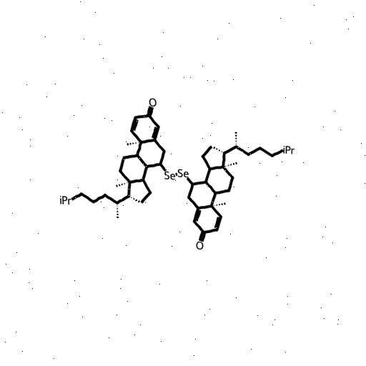 CC(C)CCC[C@@H](C)[C@H]1CCC2C3C([Se][Se]C4CC5=CC(=O)C=C[C@]5(C)C5CC[C@@]6(C)C(CC[C@@H]6[C@H](C)CCCC(C)C)C45)CC4=CC(=O)C=C[C@]4(C)C3CC[C@@]21C